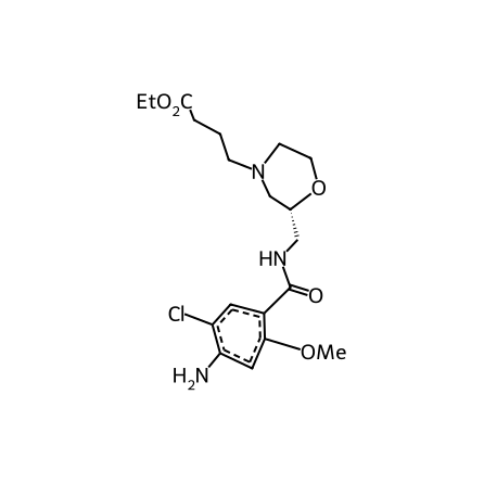 CCOC(=O)CCCN1CCO[C@H](CNC(=O)c2cc(Cl)c(N)cc2OC)C1